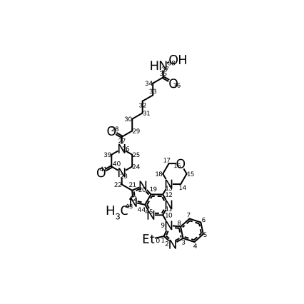 CCc1nc2ccccc2n1-c1nc(N2CCOCC2)c2nc(CN3CCN(C(=O)CCCCCCC(=O)NO)CC3=O)n(C)c2n1